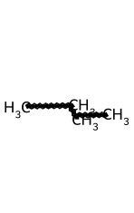 CCCCCCCCCCCCCCCCC(C)CCCC(C)CCCCCCCCCCC